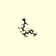 CCC(O)(/C=C(\O[C@H](O)[C@H](O)CNC(=O)C1CC1)C(=O)O)CNC(C)=O